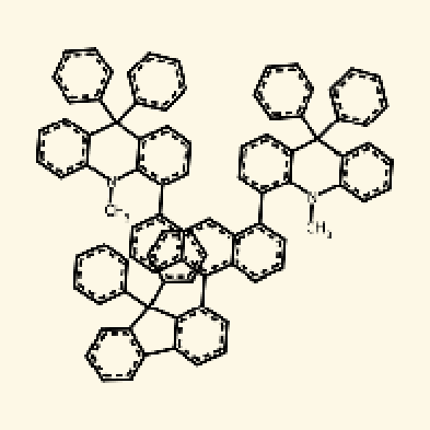 CN1c2ccccc2C(c2ccccc2)(c2ccccc2)c2cccc(-c3cccc4c(-c5cccc6c5C(c5ccccc5)(c5ccccc5)c5ccccc5-6)c5cccc(-c6cccc7c6N(C)c6ccccc6C7(c6ccccc6)c6ccccc6)c5cc34)c21